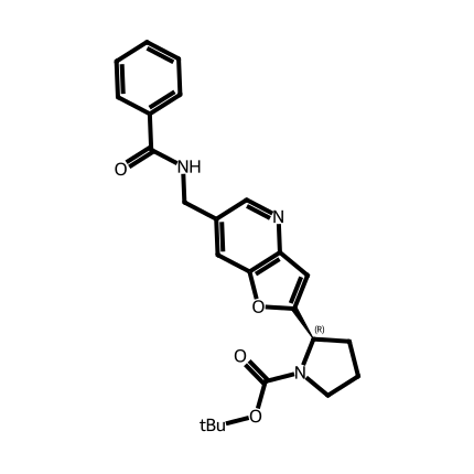 CC(C)(C)OC(=O)N1CCC[C@@H]1c1cc2ncc(CNC(=O)c3ccccc3)cc2o1